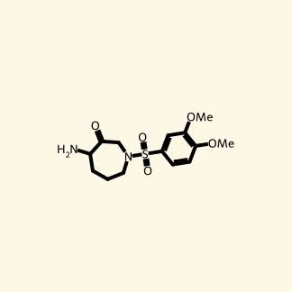 COc1ccc(S(=O)(=O)N2CCCC(N)C(=O)C2)cc1OC